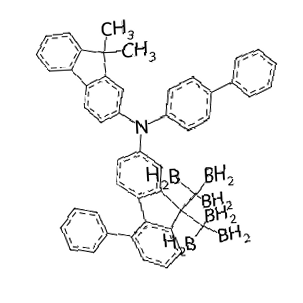 BC(B)(B)C1(C(B)(B)B)c2cc(N(c3ccc(-c4ccccc4)cc3)c3ccc4c(c3)C(C)(C)c3ccccc3-4)ccc2-c2c(-c3ccccc3)cccc21